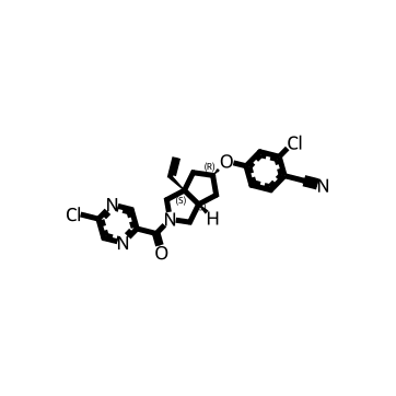 C=C[C@@]12C[C@H](Oc3ccc(C#N)c(Cl)c3)C[C@@H]1CN(C(=O)c1cnc(Cl)cn1)C2